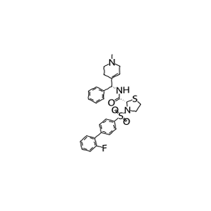 CN1CC=C([C@H](NC(=O)[C@@H]2SCCN2S(=O)(=O)c2ccc(-c3ccccc3F)cc2)c2ccccc2)CC1